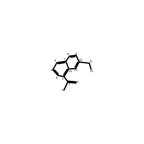 C=C(C)c1cccc2ccc(CC)cc12